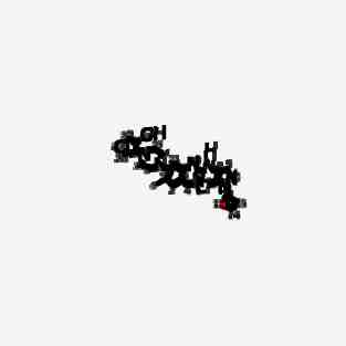 Cc1cc2cnc(Nc3cnn(C45CC(C4)C5)c3Cl)nc2cc1N1CCN(C2COCC2O)CC1